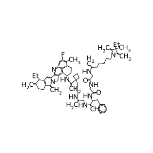 C=C(CCCCCN1C(=C)C(C)(CC)C1=C)NCC(=O)NCC(=O)NC(Cc1ccccc1)C(=C)NCC(=C)NCCCC1(C(=C)NC2CCc3c(C)c(F)cc4nc5c(c2c34)CN2C(=C)C3=C(C=C52)C(CC)C(=C)CC3)CCC1